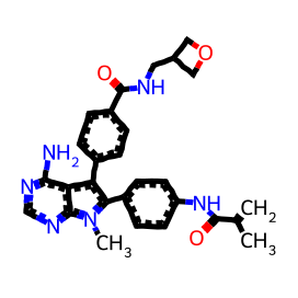 C=C(C)C(=O)Nc1ccc(-c2c(-c3ccc(C(=O)NCC4COC4)cc3)c3c(N)ncnc3n2C)cc1